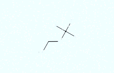 CCCCOC(F)(F)I